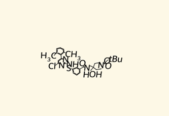 Cc1cccc(C)c1-c1cc(Cl)nc(NSc2cccc(C(=O)NCC3(CO)CCN(C(=O)OC(C)(C)C)CC3)c2)n1